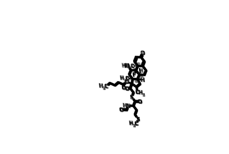 CCCCC(=O)O[C@]1(C(=O)CSC(=O)C(CCSC)NC=O)C(C)C[C@H]2[C@@H]3CCC4=CC(=O)C=C[C@]4(C)[C@@]3(F)C(O)C[C@@]21C